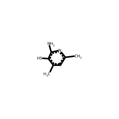 Cc1cc(C)c(S)c(N)n1